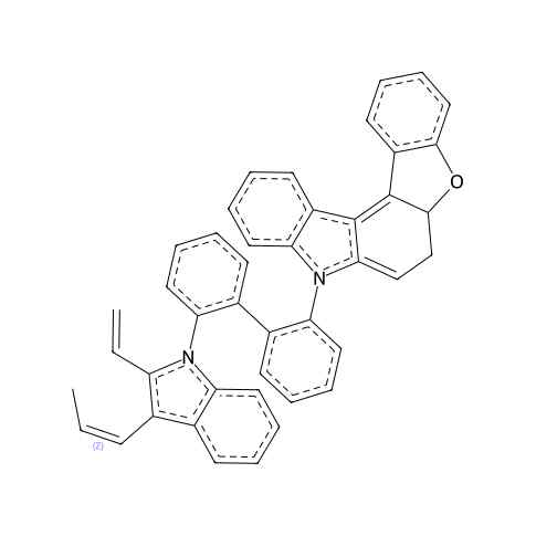 C=Cc1c(/C=C\C)c2ccccc2n1-c1ccccc1-c1ccccc1-n1c2c(c3ccccc31)=C1c3ccccc3OC1CC=2